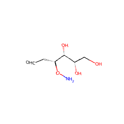 NO[C@H](CC=O)[C@H](O)[C@@H](O)CO